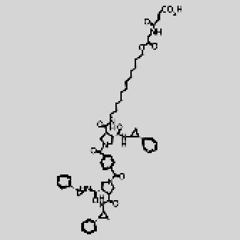 O=C(O)/C=C/C(=O)NCC(=O)OCCCCCCCCCCCCNC(=O)[C@@H]1CN(C(=O)c2ccc(C(=O)N3C[C@@H](C(=O)N[C@H]4C[C@@H]4c4ccccc4)[C@H](C(=O)N[C@H]4C[C@@H]4c4ccccc4)C3)cc2)C[C@H]1C(=O)N[C@H]1C[C@@H]1c1ccccc1